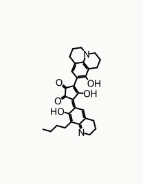 CCCCc1c(O)/c(=C2\C(=O)C(=O)C(c3cc4c5c(c3O)CCCN5CCC4)=C2O)cc2c1=NCCC2